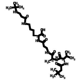 CC(C)[C@H](NC(=O)CC(C)(C)C)C(=O)N[C@@H](C)C(=O)NCCC(=O)N[C@@H](CCCCNC(=O)CCNC(C)(C)C)C(=O)O